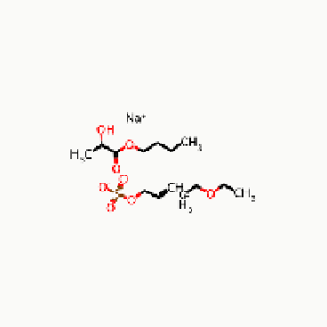 C=CCOS(=O)(=O)[O-].CCCCOC(=O)C(C)O.CCOCC.[Na+]